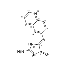 NC1=NC(=O)C(=Cc2ccc3ncccc3n2)N1